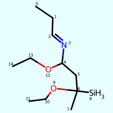 CCC=NC(CC(C)([SiH3])OCC)OCC